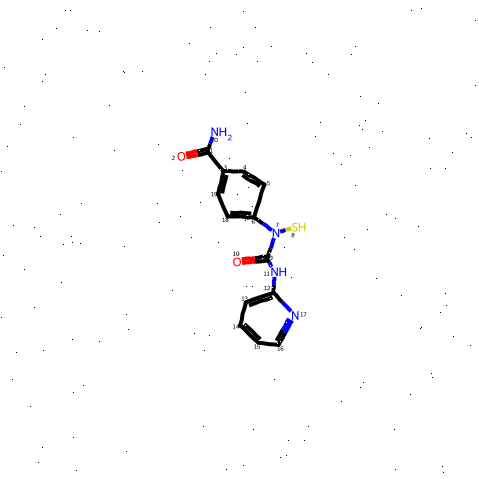 NC(=O)c1ccc(N(S)C(=O)Nc2ccccn2)cc1